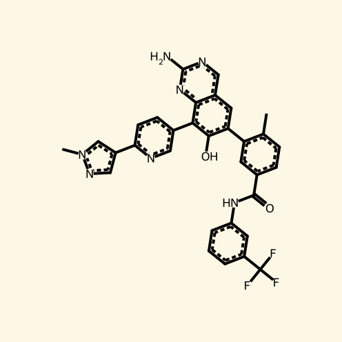 Cc1ccc(C(=O)Nc2cccc(C(F)(F)F)c2)cc1-c1cc2cnc(N)nc2c(-c2ccc(-c3cnn(C)c3)nc2)c1O